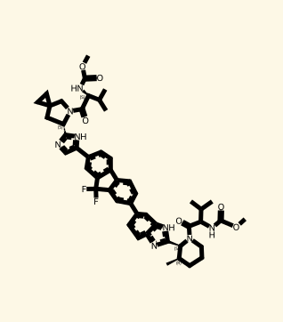 COC(=O)NC(C(=O)N1CCC[C@@H](C)[C@H]1c1nc2ccc(-c3ccc4c(c3)C(F)(F)c3cc(-c5cnc([C@@H]6CC7(CC7)CN6C(=O)[C@@H](NC(=O)OC)C(C)C)[nH]5)ccc3-4)cc2[nH]1)C(C)C